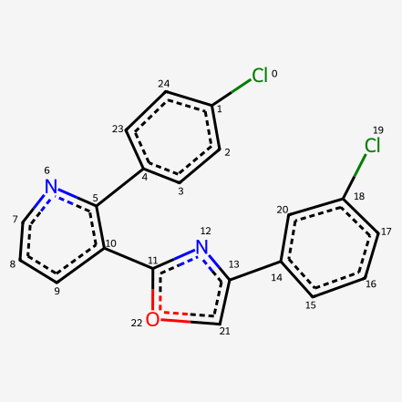 Clc1ccc(-c2ncccc2-c2nc(-c3cccc(Cl)c3)co2)cc1